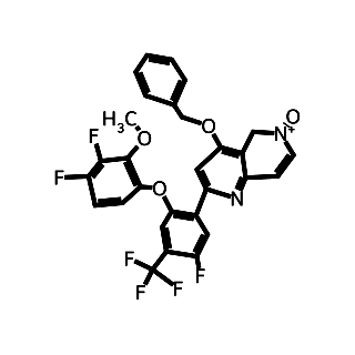 COc1c(Oc2cc(C(F)(F)F)c(F)cc2-c2cc(OCc3ccccc3)c3c(n2)C=C[N+](=O)C3)ccc(F)c1F